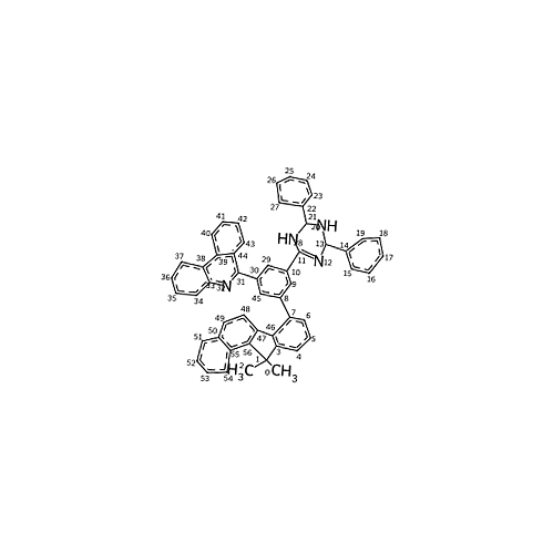 CC1(C)c2cccc(-c3cc(C4=NC(c5ccccc5)NC(c5ccccc5)N4)cc(-c4nc5ccccc5c5ccccc45)c3)c2-c2ccc3ccccc3c21